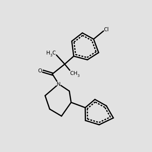 CC(C)(C(=O)N1CCCC(c2ccccc2)C1)c1ccc(Cl)cc1